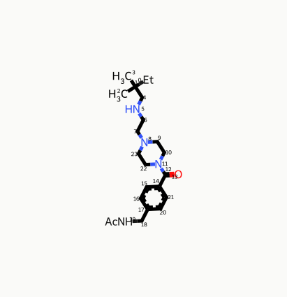 CCC(C)(C)CNCCN1CCN(C(=O)c2ccc(CNC(C)=O)cc2)CC1